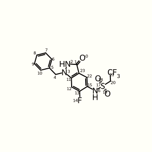 O=c1[nH]n(Cc2ccccc2)c2cc(F)c(NS(=O)(=O)CC(F)(F)F)cc12